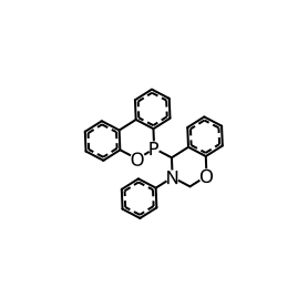 c1ccc(N2COc3ccccc3C2P2Oc3ccccc3-c3ccccc32)cc1